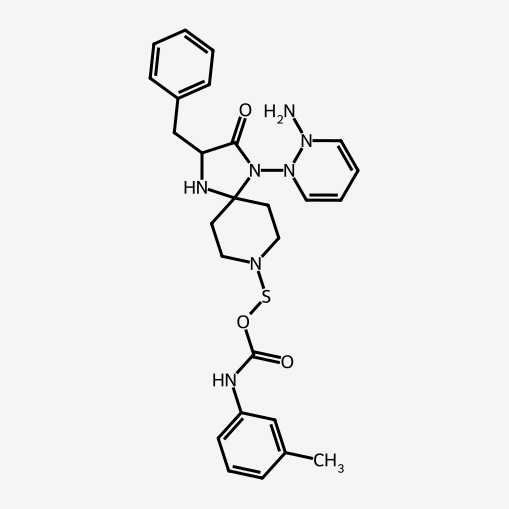 Cc1cccc(NC(=O)OSN2CCC3(CC2)NC(Cc2ccccc2)C(=O)N3N2C=CC=CN2N)c1